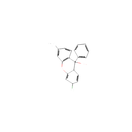 Cc1ccc2c(c1)OC1=CC(Cl)C=CC1C2(O)c1ccccc1